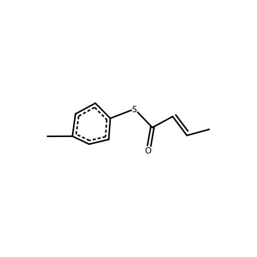 CC=CC(=O)Sc1ccc(C)cc1